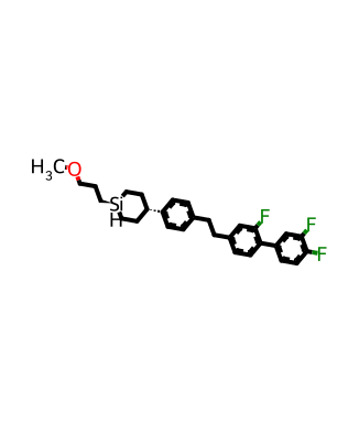 COCCC[Si@H]1CC[C@H](c2ccc(CCc3ccc(-c4ccc(F)c(F)c4)c(F)c3)cc2)CC1